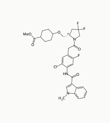 COC(=O)C1CCC(OC[C@@H]2CC(F)(F)CN2C(=O)Cc2cc(Cl)c(NC(=O)c3cn(C)c4ccccc34)cc2F)CC1